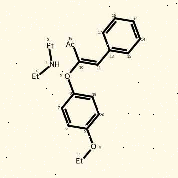 CCNCC.CCOc1ccc(OC(=Cc2ccccc2)C(C)=O)cc1